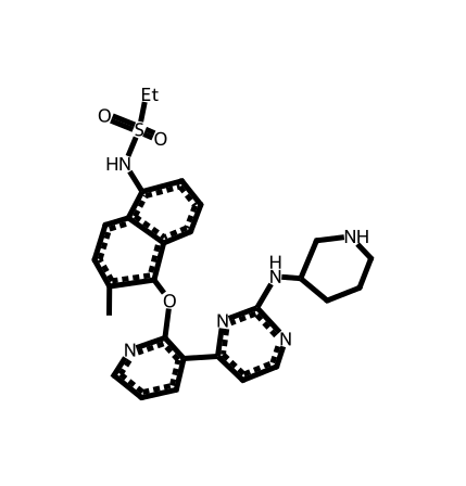 CCS(=O)(=O)Nc1cccc2c(Oc3ncccc3-c3ccnc(NC4CCCNC4)n3)c(C)ccc12